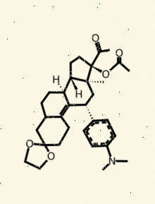 CC(=O)O[C@]1(C(C)=O)CC[C@H]2[C@@H]3CCC4CC5(CCC4=C3[C@@H](c3ccc(N(C)C)cc3)C[C@@]21C)OCCO5